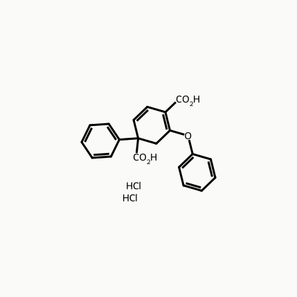 Cl.Cl.O=C(O)C1=C(Oc2ccccc2)CC(C(=O)O)(c2ccccc2)C=C1